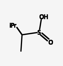 CC(C)C(C)S(=O)O